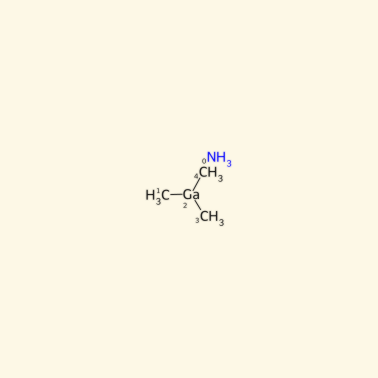 N.[CH3][Ga]([CH3])[CH3]